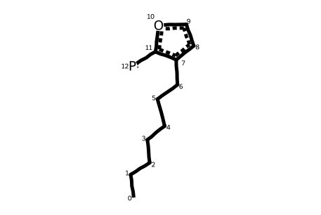 CCCCCCCc1ccoc1[P]